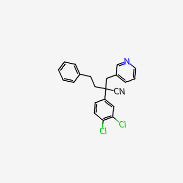 N#CC(CCc1ccccc1)(Cc1cccnc1)c1ccc(Cl)c(Cl)c1